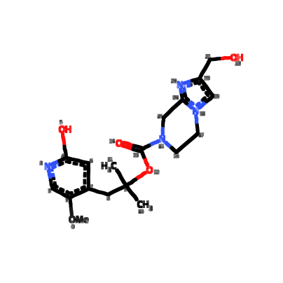 COc1cnc(O)cc1CC(C)(C)OC(=O)N1CCn2cc(CO)nc2C1